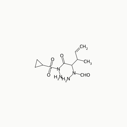 C=CC(C)C(C(=O)N(N)S(=O)(=O)C1CC1)N(N)C=O